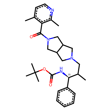 Cc1ccnc(C)c1C(=O)N1CC2CN(CC(C)[C@H](NC(=O)OC(C)(C)C)c3ccccc3)CC2C1